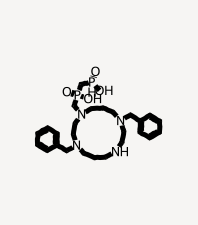 O=[PH](O)CP(=O)(O)CN1CCCN(Cc2ccccc2)CCNCCCN(Cc2ccccc2)CC1